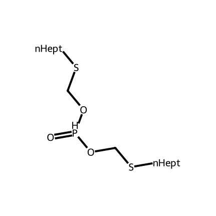 CCCCCCCSCO[PH](=O)OCSCCCCCCC